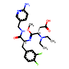 CCN(CC)[C@@H](CC(=O)O)C(=N[C@@H](Cc1ccc(F)c(F)c1)C(=O)NCc1ccc(N)nc1)OC